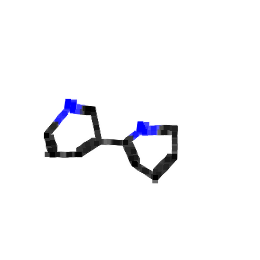 [c]1cncc(-c2c[c]ccn2)c1